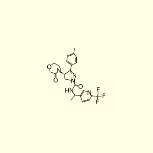 Cc1ccc(C2=NN(C(=O)NC(C)c3ccc(C(F)(F)F)nc3)C[C@H]2N2CCOCC2=O)cc1